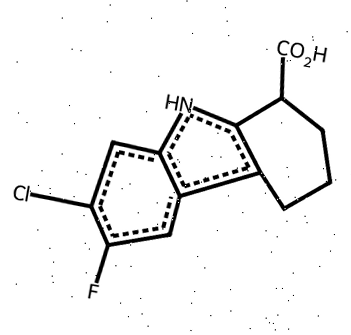 O=C(O)C1CCCc2c1[nH]c1cc(Cl)c(F)cc21